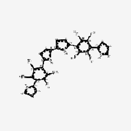 Fc1c(F)c(-c2ccc(-c3ccc(-c4c(F)c(F)c(-c5cccs5)c(F)c4F)s3)s2)c(F)c(F)c1-c1cccs1